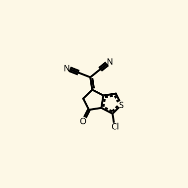 N#CC(C#N)=C1CC(=O)c2c1csc2Cl